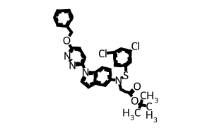 CC(C)(C)OC(=O)CN(Sc1cc(Cl)cc(Cl)c1)c1ccc2c(ccn2-c2ccc(OCc3ccccc3)nn2)c1